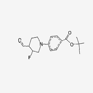 CC(C)(C)OC(=O)c1ccc(N2CCC(C=O)C(F)C2)cc1